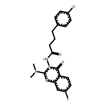 CN(C)c1nc2cc(F)ccc2c(=O)n1NC(=O)CCCc1ccc(Cl)cc1